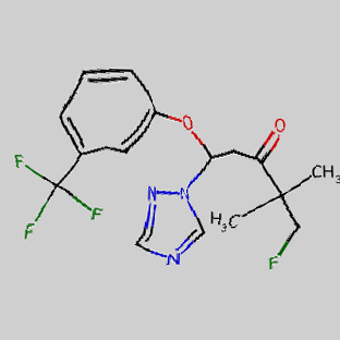 CC(C)(CF)C(=O)C(Oc1cccc(C(F)(F)F)c1)n1cncn1